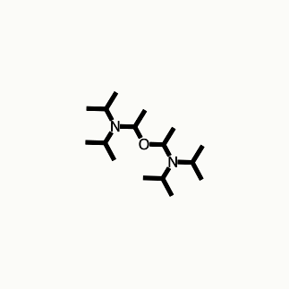 CC(C)N(C(C)C)C(C)OC(C)N(C(C)C)C(C)C